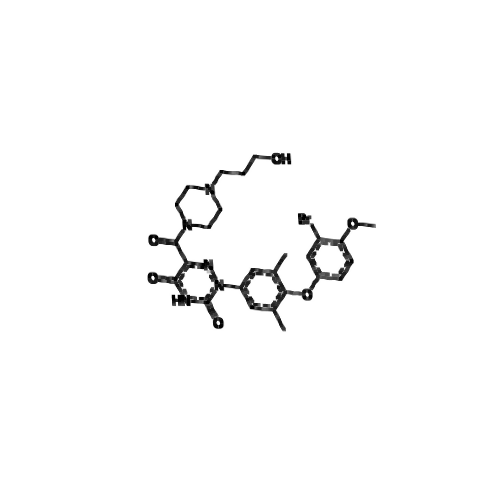 COc1ccc(Oc2c(C)cc(-n3nc(C(=O)N4CCN(CCCO)CC4)c(=O)[nH]c3=O)cc2C)cc1Br